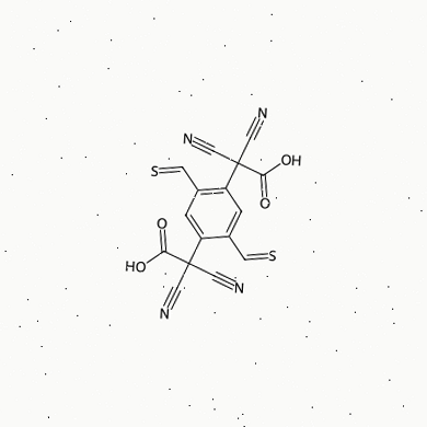 N#CC(C#N)(C(=O)O)c1cc(C=S)c(C(C#N)(C#N)C(=O)O)cc1C=S